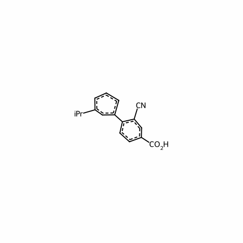 CC(C)c1cccc(-c2ccc(C(=O)O)cc2C#N)c1